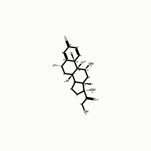 C[C@H]1C[C@H]2C3CC[C@](O)(C(=O)CO)[C@@]3(C)C[C@H](O)[C@H]2[C@@]2(C)C=CC(=O)C=C12